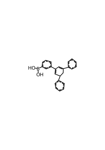 OB(O)c1cccc(C2=CC(c3ccccc3)CC(c3ccccc3)=C2)c1